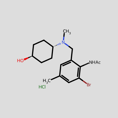 CC(=O)Nc1c(Br)cc(C)cc1CN(C)[C@H]1CC[C@H](O)CC1.Cl